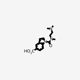 CN(C)CCN(C)C(=O)n1ccc2cc(C(=O)O)ccc21